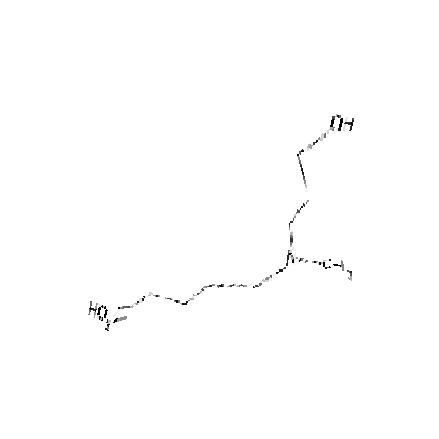 CN(CCCO)CCCCC(=O)O